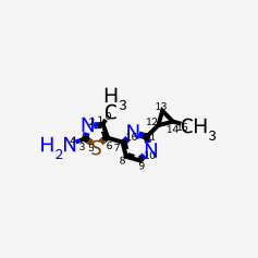 Cc1nc(N)sc1-c1ccnc(C2CC2C)n1